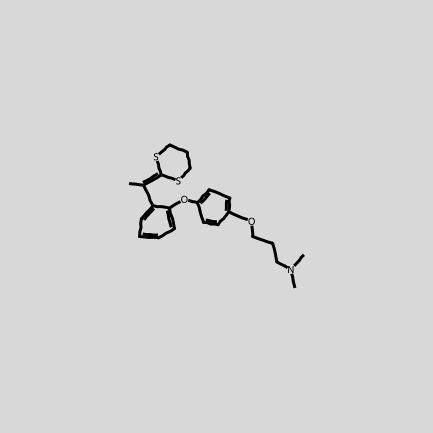 CC(=C1SCCCS1)c1ccccc1Oc1ccc(OCCCN(C)C)cc1